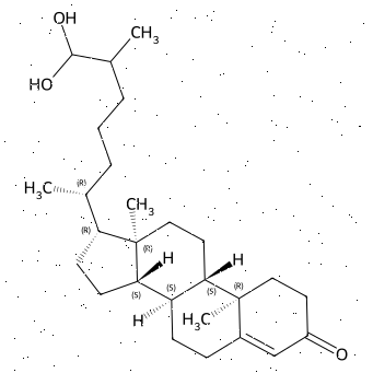 CC(CCC[C@@H](C)[C@H]1CC[C@H]2[C@@H]3CCC4=CC(=O)CC[C@]4(C)[C@H]3CC[C@]12C)C(O)O